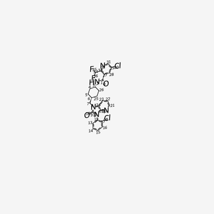 O=C(N[C@H]1CC[C@H](Cn2c(=O)n(-c3ccccc3Cl)c3ncccc32)CC1)c1cc(Cl)cnc1C(F)F